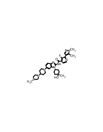 Cc1c(-c2nccc(C(=O)Nc3nc4ccc(N5CCC(N6CCN(C)CC6)CC5)cc4n3[C@H]3CC[C@@](C)(O)CC3)c2F)cnn1C